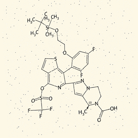 C[C@H]1c2cc(-c3nc(OS(=O)(=O)C(F)(F)F)c4ccsc4c3-c3c(F)cc(F)cc3OCCO[Si](C)(C)C(C)(C)C)nn2CCN1C(=O)O